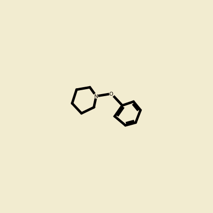 [CH]1CCCCN1Oc1ccccc1